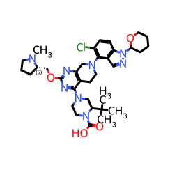 CN1CCC[C@H]1COc1nc2c(c(N3CCN(C(=O)O)C(C(C)(C)C)C3)n1)CCN(c1c(Cl)ccc3c1cnn3C1CCCCO1)C2